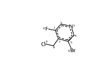 Fc1cncc(Br)c1CCl